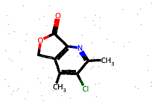 Cc1nc2c(c(C)c1Cl)COC2=O